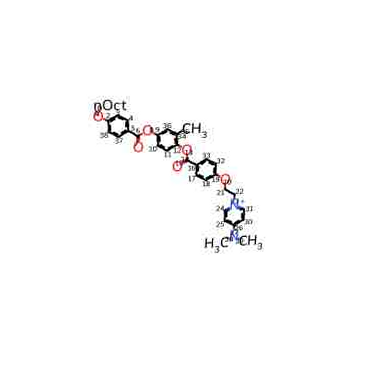 CCCCCCCCOc1ccc(C(=O)Oc2ccc(OC(=O)c3ccc(OCC[n+]4ccc(N(C)C)cc4)cc3)c(C)c2)cc1